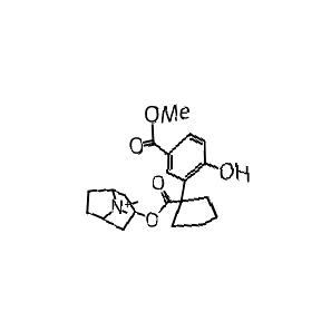 COC(=O)c1ccc(O)c(C2(C(=O)OC3CC4CCC(C3)[N+]4(C)C)CCCC2)c1